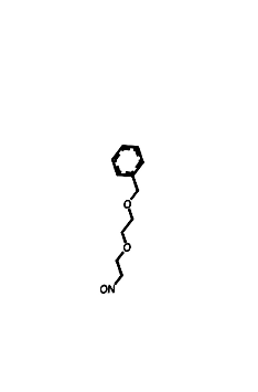 O=NCCOCCOCc1ccccc1